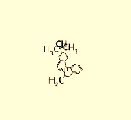 C=C1Cc2ccccc2-c2c3ccc(C(C)(C)C)cc3cc[n+]21